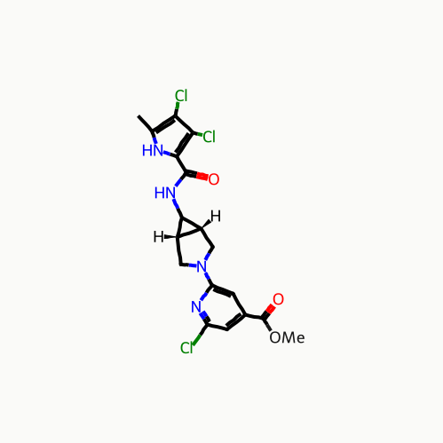 COC(=O)c1cc(Cl)nc(N2C[C@@H]3C(NC(=O)c4[nH]c(C)c(Cl)c4Cl)[C@@H]3C2)c1